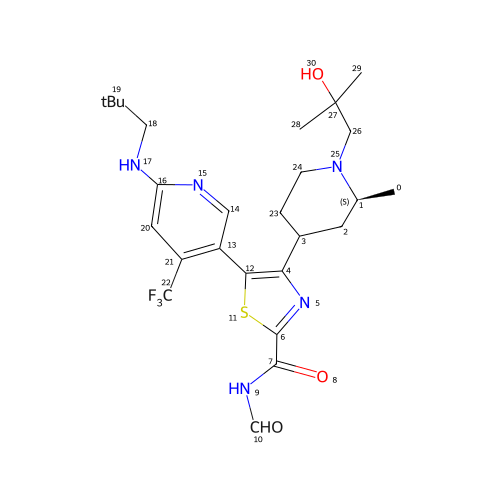 C[C@H]1CC(c2nc(C(=O)NC=O)sc2-c2cnc(NCC(C)(C)C)cc2C(F)(F)F)CCN1CC(C)(C)O